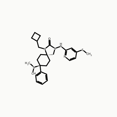 CSc1ccnc(NN2C[C@]3(CC[C@](c4ccccc4)(N(C)C)CC3)N(CC3CCC3)C2=O)c1